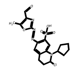 Cc1oc(N=Nc2cc3c(cc2S(=O)(=O)O)N(C2CCCC2)C(Cl)CC3)nc1C=O